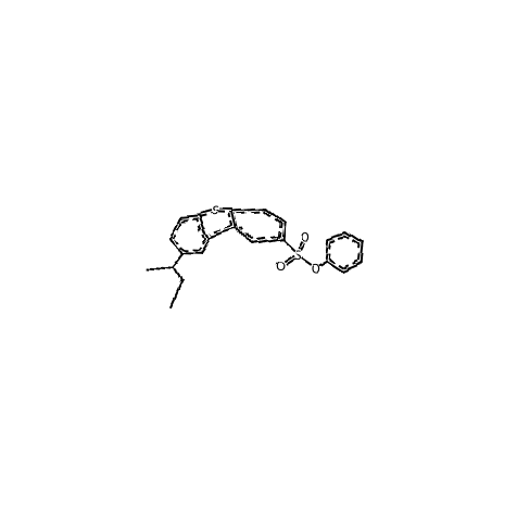 CCC(C)c1ccc2sc3ccc(S(=O)(=O)Oc4ccccc4)cc3c2c1